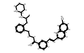 CC(Cc1ccccc1CCCC(=O)c1cccc(C=Cc2ccc3ccc(Cl)cc3n2)c1)OC1CCCCO1